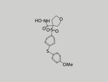 COc1ccc(Sc2ccc(S(=O)(=O)C3(C(=O)NO)CCOCC3)cc2)cc1